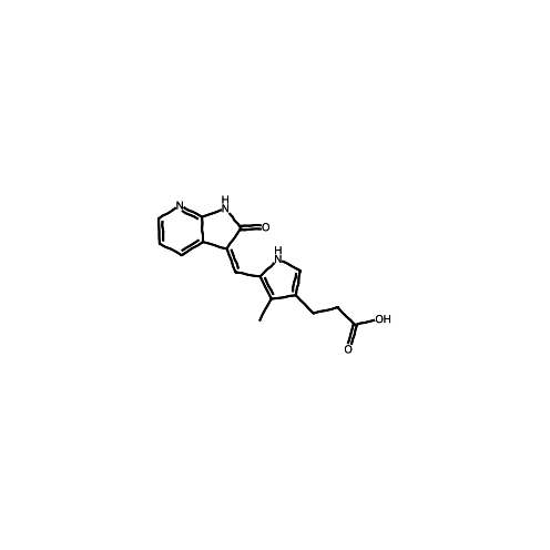 Cc1c(CCC(=O)O)c[nH]c1/C=C1\C(=O)Nc2ncccc21